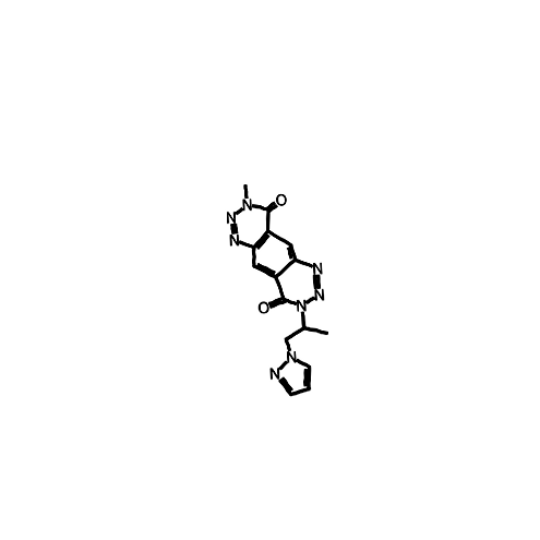 CC(Cn1cccn1)n1nnc2cc3c(=O)n(C)nnc3cc2c1=O